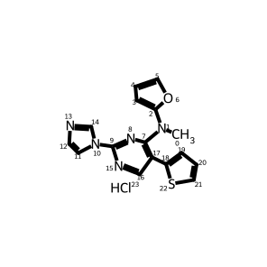 CN(c1ccco1)c1nc(-n2ccnc2)ncc1-c1cccs1.Cl